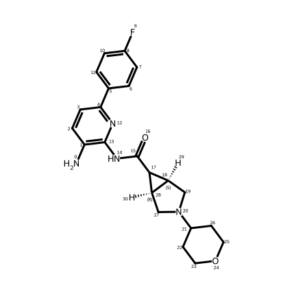 Nc1ccc(-c2ccc(F)cc2)nc1NC(=O)C1[C@H]2CN(C3CCOCC3)C[C@@H]12